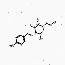 CCOC[C@H]1O[C@@H](S)[C@H](OCc2ccc(OC)cc2)[C@@H](O)[C@H]1O